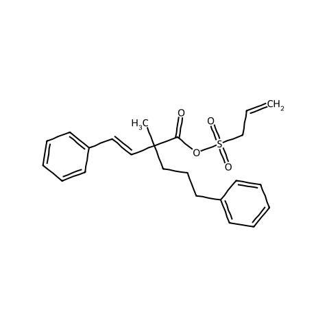 C=CCS(=O)(=O)OC(=O)C(C)(C=Cc1ccccc1)CCCc1ccccc1